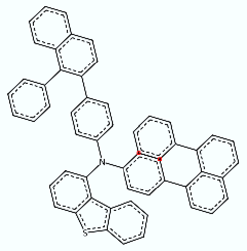 c1ccc(-c2c(-c3ccc(N(c4ccc(-c5cccc6cccc(-c7ccccc7)c56)cc4)c4cccc5sc6ccccc6c45)cc3)ccc3ccccc23)cc1